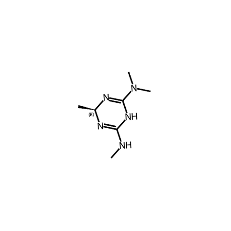 CNC1=N[C@@H](C)N=C(N(C)C)N1